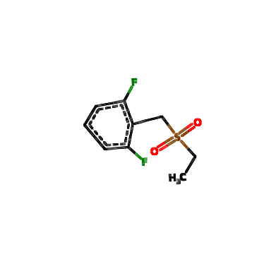 CCS(=O)(=O)Cc1c(F)cccc1F